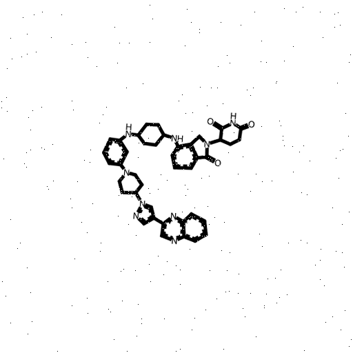 O=C1CCC(N2Cc3c(NC4CCC(Nc5cccc(N6CCC(n7cc(-c8cnc9ccccc9n8)cn7)CC6)c5)CC4)cccc3C2=O)C(=O)N1